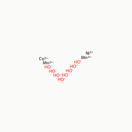 [Co+2].[Mn+2].[Mn+2].[Ni+2].[OH-].[OH-].[OH-].[OH-].[OH-].[OH-].[OH-].[OH-]